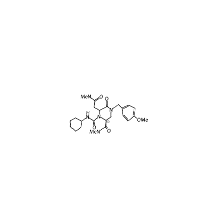 CNC(=O)CC1C(=O)N(Cc2ccc(OC)cc2)C[C@@H](C(=O)NC)N1C(=O)NC1CCCCC1